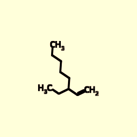 C=CC(CC)CCCCC